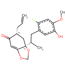 C=CC[C@@H]1C[C@@]2(C(C)Cc3cc(O)c(OC)cc3F)OCOC2=CC1=O